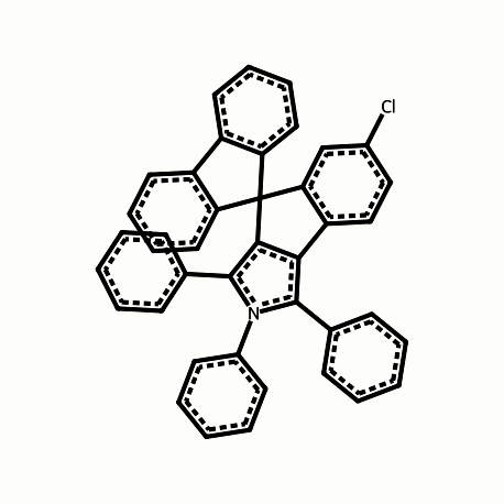 Clc1ccc2c(c1)C1(c3ccccc3-c3ccccc31)c1c-2c(-c2ccccc2)n(-c2ccccc2)c1-c1ccccc1